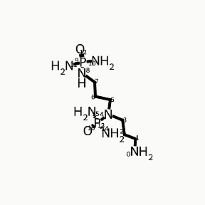 NCCCN(CCCNP(N)(N)=O)P(N)(N)=O